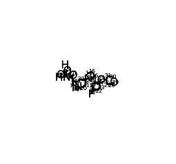 O=C(N[SH](=O)=O)c1cnn2ccc(N3CCC[C@@H]3c3cc(F)ccc3OC3CCOCC3)cc12